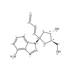 Nc1ncnc2c1ncn2[C@@]1(C=CC=O)C[C@H](O)[C@@H](CO)O1